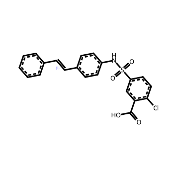 O=C(O)c1cc(S(=O)(=O)Nc2ccc(/C=C/c3ccccc3)cc2)ccc1Cl